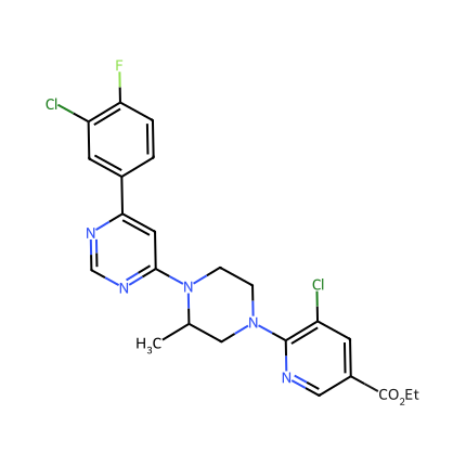 CCOC(=O)c1cnc(N2CCN(c3cc(-c4ccc(F)c(Cl)c4)ncn3)C(C)C2)c(Cl)c1